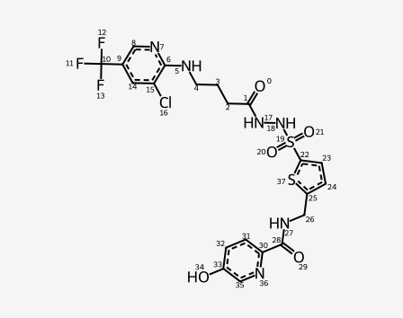 O=C(CCCNc1ncc(C(F)(F)F)cc1Cl)NNS(=O)(=O)c1ccc(CNC(=O)c2ccc(O)cn2)s1